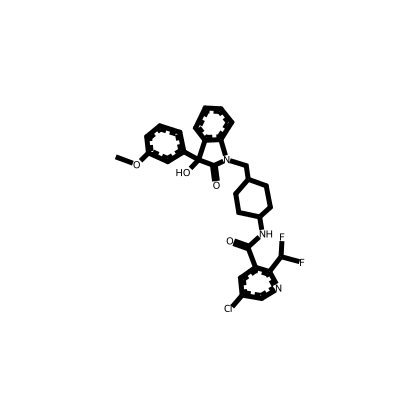 COc1cccc(C2(O)C(=O)N(CC3CCC(NC(=O)c4cc(Cl)cnc4C(F)F)CC3)c3ccccc32)c1